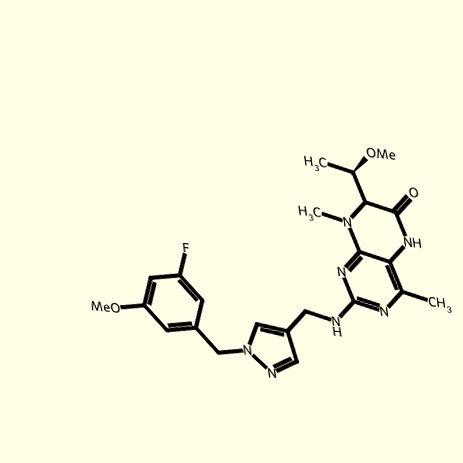 COc1cc(F)cc(Cn2cc(CNc3nc(C)c4c(n3)N(C)C([C@@H](C)OC)C(=O)N4)cn2)c1